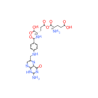 Nc1nc(=O)c2nc(CNc3ccc(C(=O)N[C@@H](CCC(=O)OC(=O)[C@@H](N)CCC(=O)O)C(=O)O)cc3)cnc2[nH]1